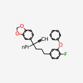 C#CC(CCC)(CCCc1ccc(F)c(Oc2ccccc2)c1)c1ccc2c(c1)OCO2